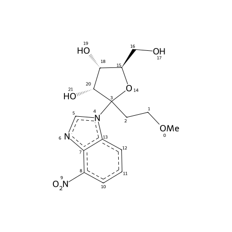 COCCC1(n2cnc3c([N+](=O)[O-])cccc32)O[C@H](CO)[C@@H](O)[C@H]1O